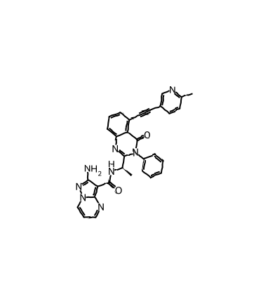 Cc1ccc(C#Cc2cccc3nc([C@@H](C)NC(=O)c4c(N)nn5cccnc45)n(-c4ccccc4)c(=O)c23)cn1